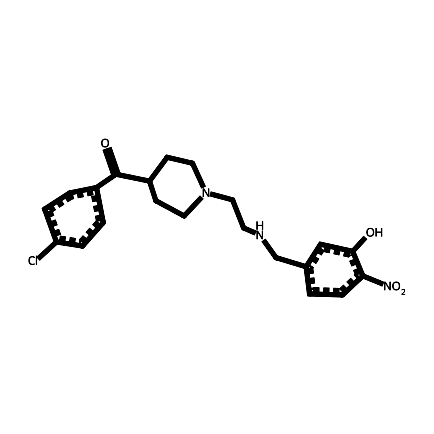 O=C(c1ccc(Cl)cc1)C1CCN(CCNCc2ccc([N+](=O)[O-])c(O)c2)CC1